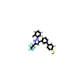 CSc1ccc(-c2cccc(C3CC(C(F)(F)C(F)(F)F)=NN3c3ccccc3C)c2)cc1